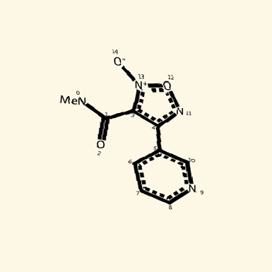 CNC(=O)c1c(-c2cccnc2)no[n+]1[O-]